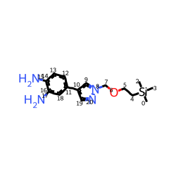 C[Si](C)(C)CCOCn1cc(-c2ccc(N)c(N)c2)cn1